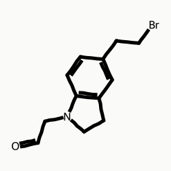 O=CCN1CCc2cc(CCBr)ccc21